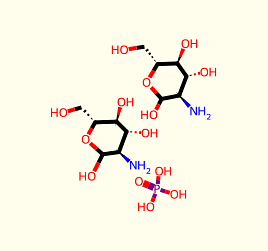 N[C@H]1C(O)O[C@H](CO)[C@@H](O)[C@@H]1O.N[C@H]1C(O)O[C@H](CO)[C@@H](O)[C@@H]1O.O=P(O)(O)O